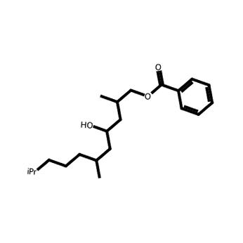 CC(C)CCCC(C)CC(O)CC(C)COC(=O)c1ccccc1